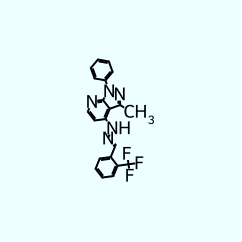 Cc1nn(-c2ccccc2)c2nccc(NN=Cc3ccccc3C(F)(F)F)c12